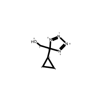 OCC1(C2CC2)N=NN=N1